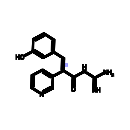 N=C(N)NC(=O)/C(=C/c1cccc(O)c1)c1cccnc1